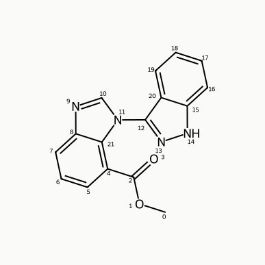 COC(=O)c1cccc2ncn(-c3n[nH]c4ccccc34)c12